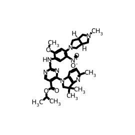 COc1cc(N2C[C@H]3CN(C)C[C@H]3C2)c([N+](=O)[O-])cc1Nc1ncc(C(=O)OC(C)C)c(N2CC(C)(C)c3nc(C)ccc32)n1